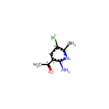 Bc1nc(N)c(C(C)=O)cc1Br